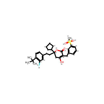 CC(C)(C#N)c1ccc(CCC2(C3CCCC3)CC(O)=C(Cc3cccc(S(C)(=O)=O)c3)C(=O)O2)cc1F